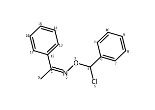 CC(=NOC(Cl)c1ccccc1)c1c[c]ccc1